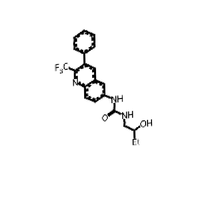 CCC(O)CNC(=O)Nc1ccc2nc(C(F)(F)F)c(-c3ccccc3)cc2c1